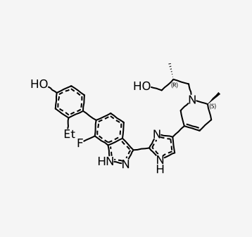 CCc1cc(O)ccc1-c1ccc2c(-c3nc(C4=CC[C@H](C)N(C[C@@H](C)CO)C4)c[nH]3)n[nH]c2c1F